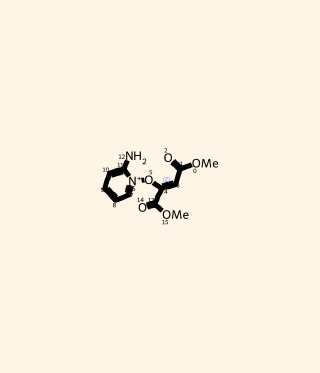 COC(=O)/C=C(\O[n+]1ccccc1N)C(=O)OC